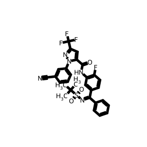 CC(C)(C)S(=O)(=O)N=C(c1ccccc1)c1ccc(F)c(NC(=O)c2cc(C(F)(F)F)nn2-c2cccc(C#N)c2)c1